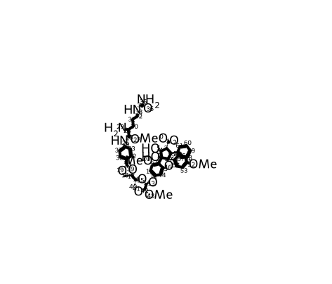 COC(=O)[C@H]1[C@@H](O)[C@@]2(O)c3c(OC)cc(O[C@@H]4O[C@@H]([C@H]5COC(c6ccc(NC(=O)C(N)CCCNC(N)=O)cc6)O5)CO[C@H]4OC)cc3O[C@@]2(c2ccc(OC)cc2)[C@@H]1c1ccccc1